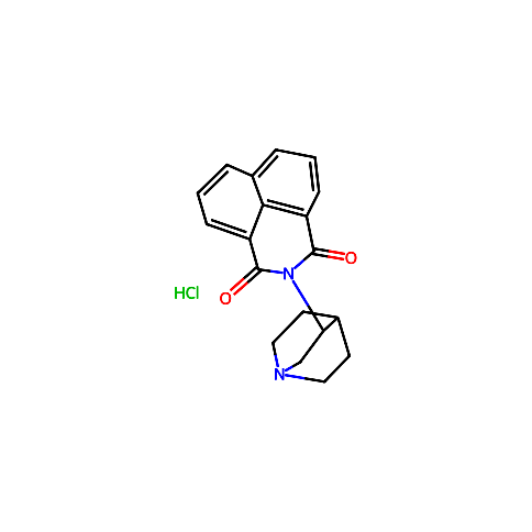 Cl.O=C1c2cccc3cccc(c23)C(=O)N1C1CN2CCC1CC2